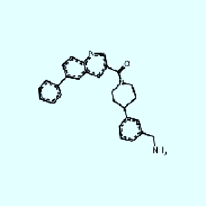 NCc1cccc(C2CCN(C(=O)c3cnc4ccc(-c5ccccc5)cc4c3)CC2)c1